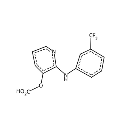 O=C(O)Oc1cccnc1Nc1cccc(C(F)(F)F)c1